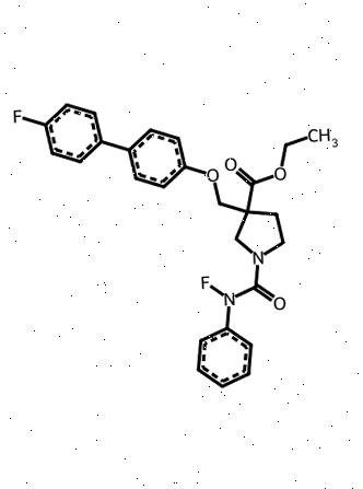 CCOC(=O)C1(COc2ccc(-c3ccc(F)cc3)cc2)CCN(C(=O)N(F)c2ccccc2)C1